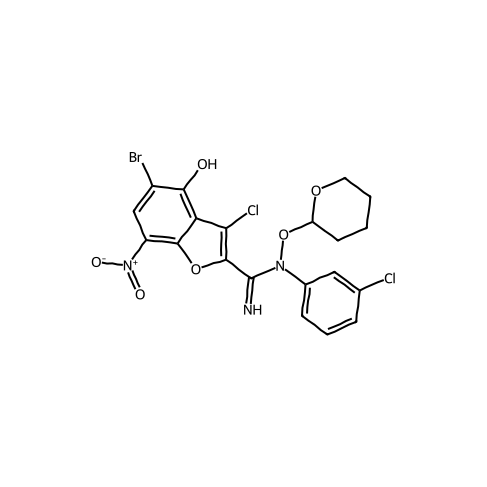 N=C(c1oc2c([N+](=O)[O-])cc(Br)c(O)c2c1Cl)N(OC1CCCCO1)c1cccc(Cl)c1